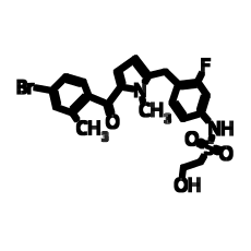 Cc1cc(Br)ccc1C(=O)c1ccc(Cc2ccc(NS(=O)(=O)CCO)cc2F)n1C